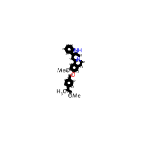 COCC(C)c1ccc(COc2cc3c(cc2OC)C2Cc4c([nH]c5ccccc45)CN2CC3)cc1